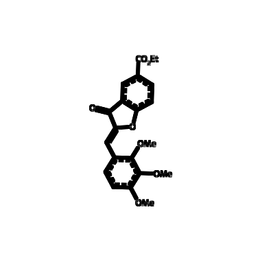 CCOC(=O)c1ccc2c(c1)C(=O)C(=Cc1ccc(OC)c(OC)c1OC)O2